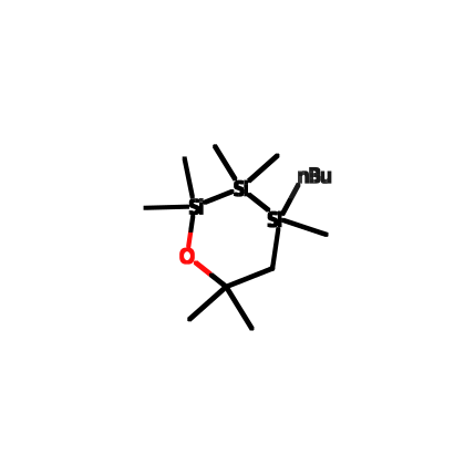 CCCC[Si]1(C)CC(C)(C)O[Si](C)(C)[Si]1(C)C